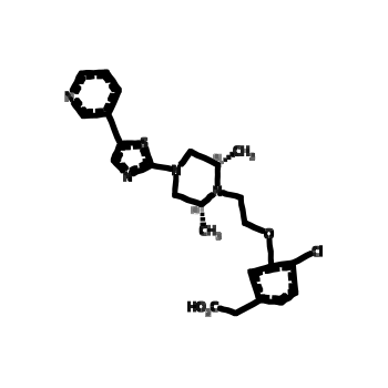 C[C@@H]1CN(c2ncc(-c3cccnc3)s2)C[C@H](C)N1CCOc1cc(CC(=O)O)ccc1Cl